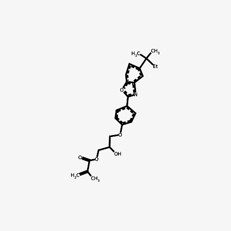 C=C(C)C(=O)OCC(O)COc1ccc(-c2nc3cc(C(C)(C)CC)ccc3o2)cc1